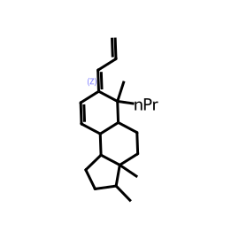 C=C/C=C1/C=CC2C(CCC3(C)C(C)CCC23)C1(C)CCC